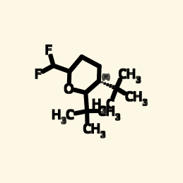 CC(C)(C)C1OC(C(F)F)CC[C@@H]1C(C)(C)C